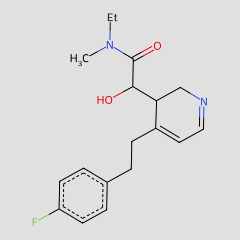 CCN(C)C(=O)C(O)C1CN=CC=C1CCc1ccc(F)cc1